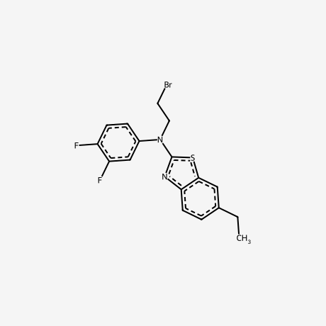 CCc1ccc2nc(N(CCBr)c3ccc(F)c(F)c3)sc2c1